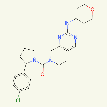 O=C(N1CCc2cnc(NC3CCOCC3)nc2C1)N1CCCC1c1ccc(Cl)cc1